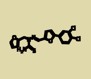 NC(=S)N(Cc1ccco1)N=Cc1ccc(-c2ccc(Cl)c(Cl)c2)o1